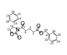 O=C(CCCC(=O)N1C(=O)OC[C@@H]1c1ccccc1)OCc1ccccc1